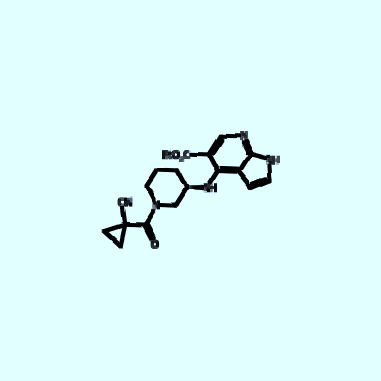 CCOC(=O)c1cnc2[nH]ccc2c1N[C@@H]1CCCN(C(=O)C2(C#N)CC2)C1